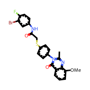 COc1cccc2c(=O)n(-c3ccc(SCC(=O)Nc4ccc(F)c(Br)c4)cc3)c(C)nc12